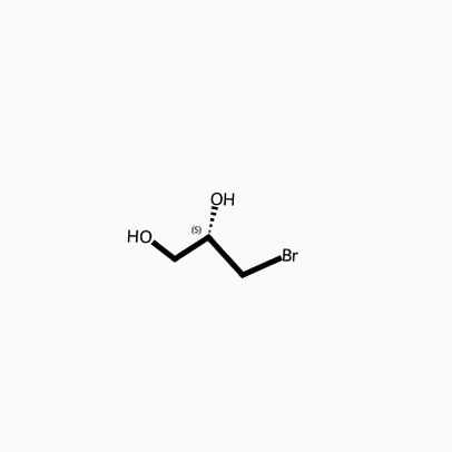 OC[C@H](O)CBr